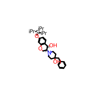 CC(C)[Si](Oc1ccc2c(c1)OC[C@@H](N1CCC(O)(Cc3ccccc3)CC1)[C@H]2O)(C(C)C)C(C)C